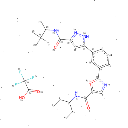 CCC(CC)NC(=O)c1cnc(-c2cccc(-c3cc(C(=O)NC(C)C(C)(C)C)n[nH]3)c2)o1.O=C(O)C(F)(F)F